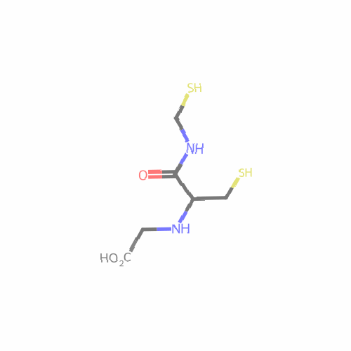 O=C(O)CNC(CS)C(=O)NCS